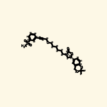 CC1(C)OCc2cc([C@@H]3CN(CCCCCCOCC#Cc4cccc(S(N)(=O)=O)c4)C(=O)O3)ccc2O1